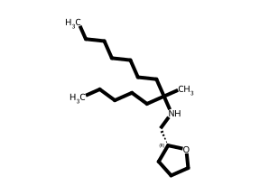 CCCCCCCC(C)(CCCCC)NC[C@H]1CCCO1